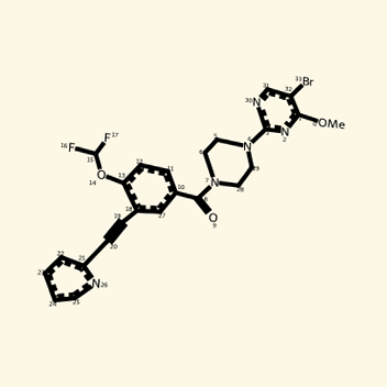 COc1nc(N2CCN(C(=O)c3ccc(OC(F)F)c(C#Cc4ccccn4)c3)CC2)ncc1Br